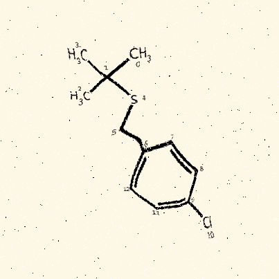 CC(C)(C)SCc1ccc(Cl)cc1